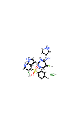 Cc1ccc(S(=O)(=O)c2c(Cl)cnc3[nH]cc(-c4ncc(F)c(N[C@H]5CCNC5)n4)c23)cc1.Cl